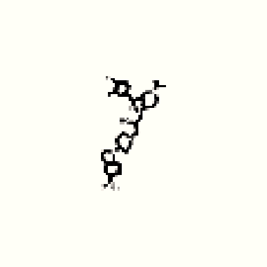 CC(=O)N1CCc2c(c(-c3ccc(Cl)c(C)c3)nn2CC(O)CN2CCC(N3CCc4cc([N+](=O)[O-])ccc43)CC2)C1